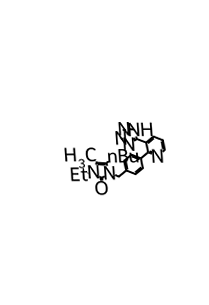 CCCCc1c(C)n(CC)c(=O)n1Cc1ccc(-c2ncccc2-c2nnn[nH]2)cc1